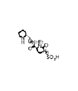 CCN1C(=O)N(OS(=O)(=O)O)CC[C@H]1C(=O)NOC[C@H]1CCCCN1